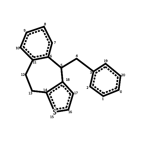 c1ccc(CC2c3ccccc3CCc3sccc32)cc1